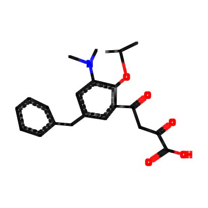 CC(C)Oc1c(C(=O)CC(=O)C(=O)O)cc(Cc2ccccc2)cc1N(C)C